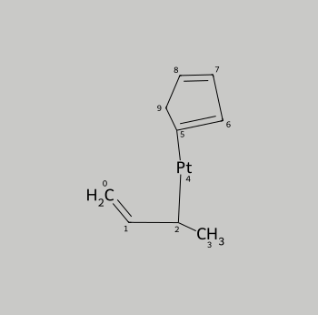 C=C[CH](C)[Pt][C]1=CC=CC1